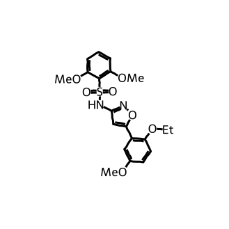 CCOc1ccc(OC)cc1-c1cc(NS(=O)(=O)c2c(OC)cccc2OC)no1